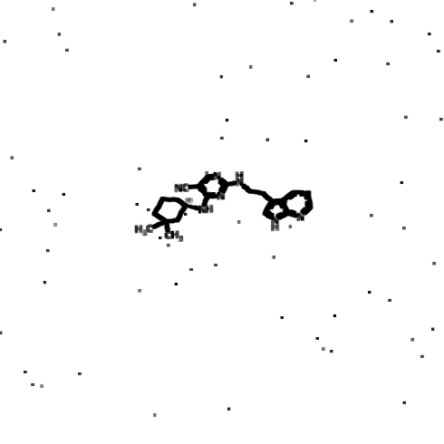 CC1(C)CCC[C@@H](Nc2nc(NCCc3c[nH]c4ncccc34)ncc2C#N)C1